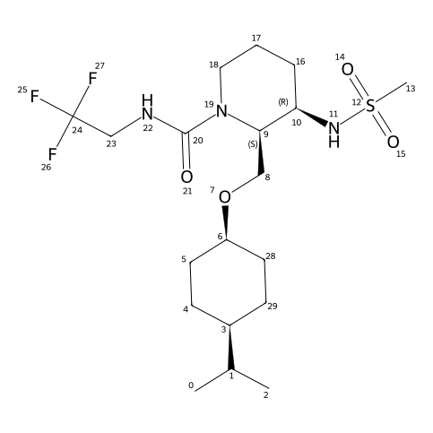 CC(C)[C@H]1CC[C@@H](OC[C@@H]2[C@H](NS(C)(=O)=O)CCCN2C(=O)NCC(F)(F)F)CC1